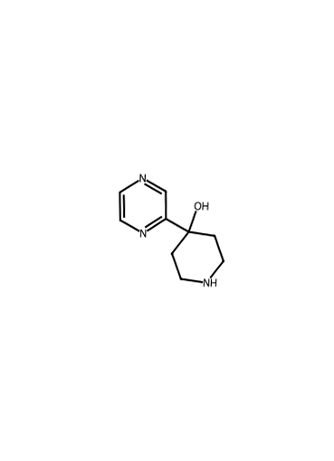 OC1(c2cnccn2)CCNCC1